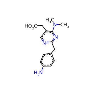 CN(C)c1nc(Cc2ccc(N)cc2)ncc1CC(=O)O